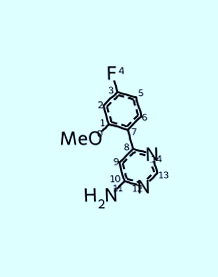 COc1cc(F)ccc1-c1cc(N)ncn1